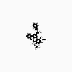 CC(=O)Oc1ccc(C(=O)N(Cc2ccccc2)c2ccc(C(=O)OCc3ccccc3)cc2)c(OC(C)=O)c1